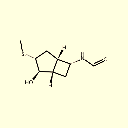 CS[C@@H]1C[C@H]2[C@H](C[C@H]2NC=O)[C@H]1O